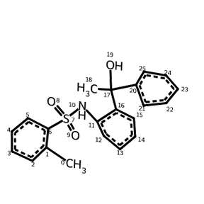 Cc1ccccc1S(=O)(=O)Nc1ccccc1C(C)(O)c1ccccc1